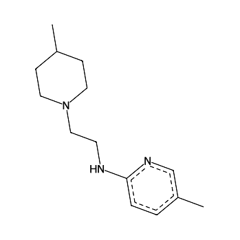 Cc1ccc(NCCN2CCC(C)CC2)nc1